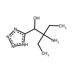 CCC(N)(CC)C(O)c1nnn[nH]1